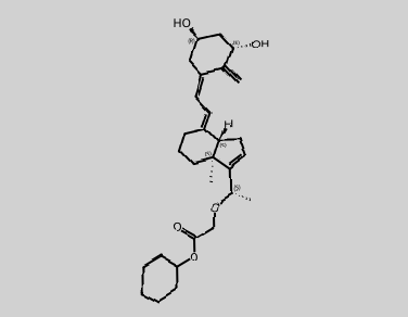 C=C1C(=CC=C2CCC[C@]3(C)C([C@H](C)OCC(=O)OC4CCCCC4)=CC[C@@H]23)C[C@@H](O)C[C@@H]1O